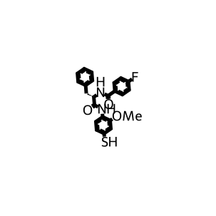 COc1cc(S)ccc1NC(=O)[C@H](Cc1ccccc1)NC(=O)c1ccc(F)cc1